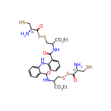 CCOC(=O)C(CSSC(=O)[C@@H](N)CS)NC(=O)c1ccccc1Nc1ccccc1C(=O)NC(CSSC(=O)[C@@H](N)CS)C(=O)OCC